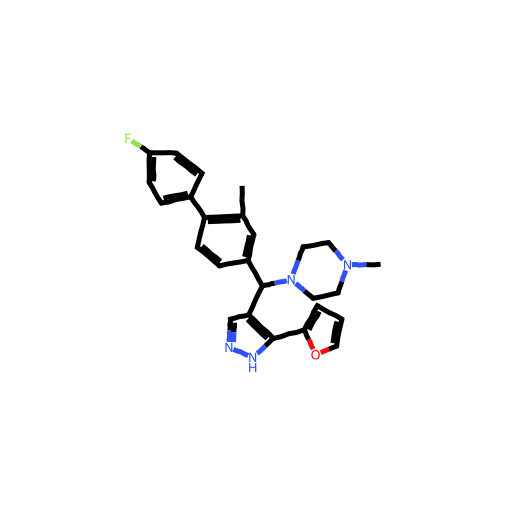 Cc1cc(C(c2cn[nH]c2-c2ccco2)N2CCN(C)CC2)ccc1-c1ccc(F)cc1